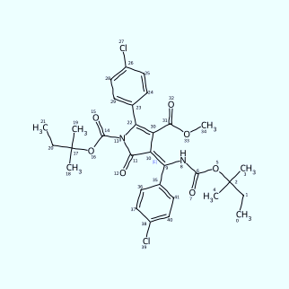 CCC(C)(C)OC(=O)N/C(=C1/C(=O)N(C(=O)OC(C)(C)CC)C(c2ccc(Cl)cc2)=C1C(=O)OC)c1ccc(Cl)cc1